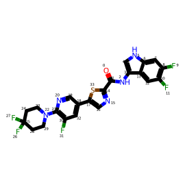 O=C(Nc1c[nH]c2cc(F)c(F)cc12)c1ncc(-c2cnc(N3CCC(F)(F)CC3)c(F)c2)s1